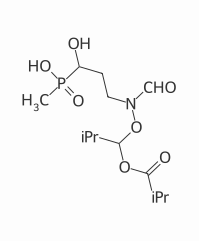 CC(C)C(=O)OC(ON(C=O)CCC(O)P(C)(=O)O)C(C)C